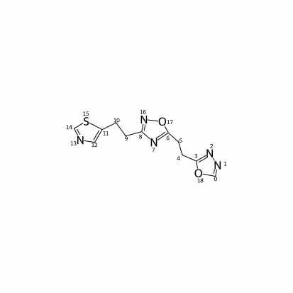 c1nnc(CCc2nc(CCc3cncs3)no2)o1